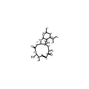 CC[C@H]1OC(=O)[C@H](C)[C@@H](OC2OC(C)CC(N(C)C)C2O)[C@@H](C)C[C@@H](C)C(=O)/C=C/[C@H]1C